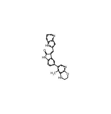 Cc1c(-c2ccc3c(c2)C(=Cc2cc4ncccc4[nH]2)C(=O)N3)cnc2c1NCCO2